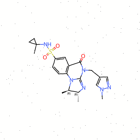 C[C@@H]1[C@@H](C)N=C2N(Cc3cnn(C)c3)C(=O)c3cc(S(=O)(=O)NC4(C)CC4)ccc3N21